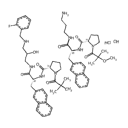 CC(C)(C)C(=O)N1CCC[C@H]1C(=O)N[C@H](Cc1ccc2ccccc2c1)C(=O)NCC(O)CNCc1ccccc1F.COC(C)(C)C(=O)N1CCC[C@H]1C(=O)N[C@H](Cc1ccc2ccccc2c1)C(=O)NCCCN.Cl.Cl